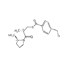 C[C@H](CSC(=O)c1ccc(CCl)cc1)C(=O)N1CCC[C@H]1C(=O)O